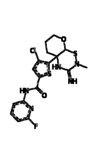 CN1SC2OCCCC2(c2sc(C(=O)Nc3cccc(F)n3)cc2Cl)NC1=N